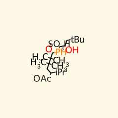 CC(=O)OC(CC(C)(C)C(C)(C)C(OS(=O)(=O)O)PCC(O)CC(C)(C)C)C(C)C